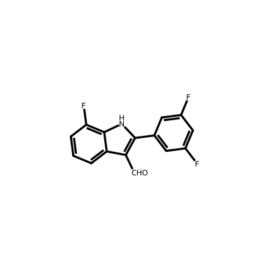 O=Cc1c(-c2cc(F)cc(F)c2)[nH]c2c(F)cccc12